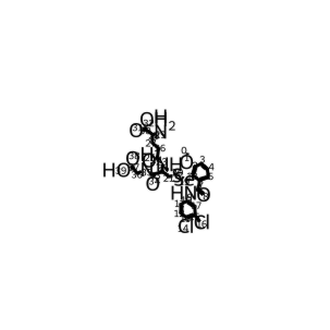 COc1cccc(C(=O)Nc2ccc(Cl)c(Cl)c2)c1[Se]SCC(NC(=O)CCC(N)C(=O)O)C(=O)NCC(=O)O